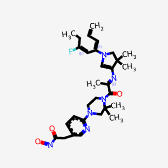 C=C/C=C(\C=C(\F)CC)N1C=C(/N=C(\C)C(=O)N2CCN(c3ccc(CC(=O)N=O)cn3)CC2(C)C)C(C)(C)C1